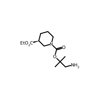 CCOC(=O)[C@H]1CCCN(C(=O)OC(C)(C)CN)C1